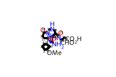 COc1cccc(N(C(N)=O)C2CCC(=O)N3CNCC(C(=O)NC(C=O)CC(=O)O)C[N+]23[O-])c1